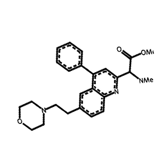 CNC(C(=O)OC)c1cc(-c2ccccc2)c2cc(CCN3CCOCC3)ccc2n1